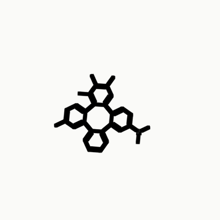 Cc1ccc2c(c1)-c1ccccc1-c1cc(N(C)C)ccc1-c1cc(C)c(C)c(C)c1-2